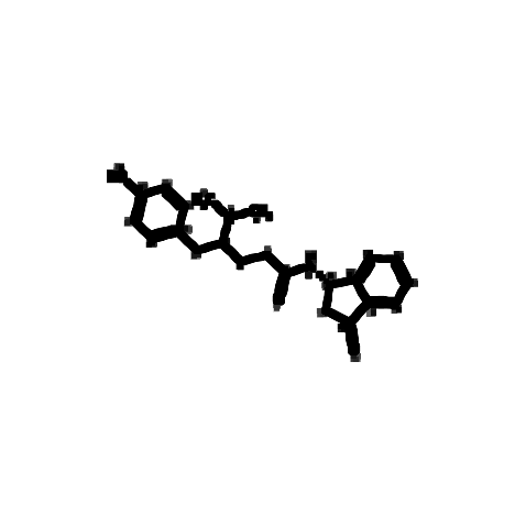 CN(C)C(CCC(=O)N[C@H]1CC(=O)c2ccccc21)Cc1ccc(O)cc1